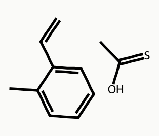 C=Cc1ccccc1C.CC(O)=S